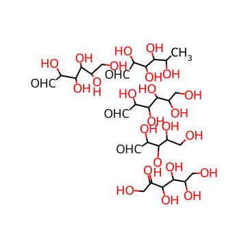 CC(O)C(O)C(O)C(O)C=O.O=C(CO)C(O)C(O)C(O)CO.O=CC(O)C(O)C(O)C(O)CO.O=CC(O)C(O)C(O)C(O)CO.O=CC(O)C(O)C(O)CO